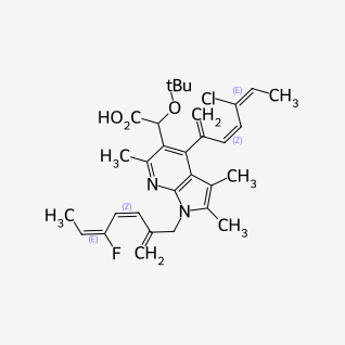 C=C(/C=C\C(F)=C/C)Cn1c(C)c(C)c2c(C(=C)/C=C\C(Cl)=C/C)c(C(OC(C)(C)C)C(=O)O)c(C)nc21